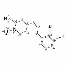 C=C1CC(/C=C\Cc2cccc(F)c2F)CCN1C